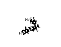 CC(C)n1c(=O)c2cnc(Nc3ccc4c(c3)CCNC4)nc2n1-c1ccc(F)c(C(C)(C)O)c1